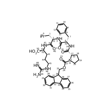 CC(C)C[C@H](NC(=O)[C@H](Cc1ccccc1)NC(=O)[C@@H]1CCCN1C(=O)OCC1c2ccccc2-c2ccccc21)C(=O)N[C@@H](CCCNC(=N)N)C(=O)O